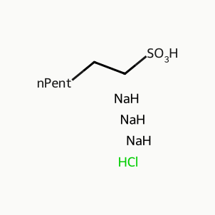 CCCCCCCS(=O)(=O)O.Cl.[NaH].[NaH].[NaH]